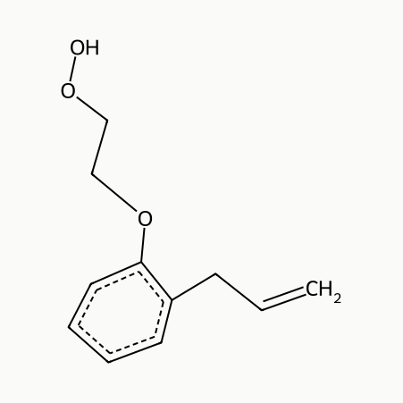 C=CCc1ccccc1OCCOO